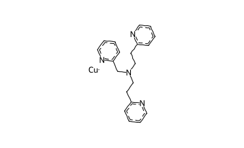 [Cu].c1ccc(CCN(CCc2ccccn2)Cc2ccccn2)nc1